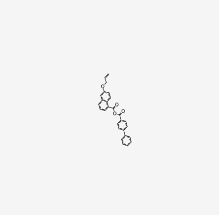 C=CCOc1ccc2c(C(=O)OC(=O)c3ccc(-c4ccccc4)cc3)cccc2c1